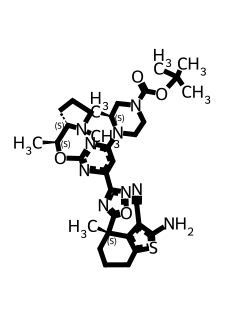 C[C@H](Oc1nc(-c2noc([C@@]3(C)CCCc4sc(N)c(C#N)c43)n2)cc(N2CCN(C(=O)OC(C)(C)C)C[C@@H]2C)n1)[C@@H]1CCCN1C